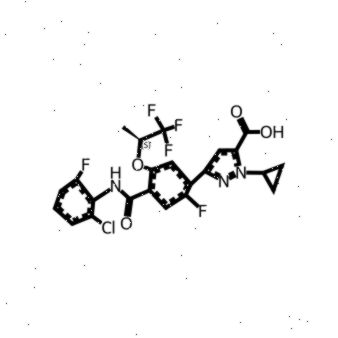 C[C@H](Oc1cc(-c2cc(C(=O)O)n(C3CC3)n2)c(F)cc1C(=O)Nc1c(F)cccc1Cl)C(F)(F)F